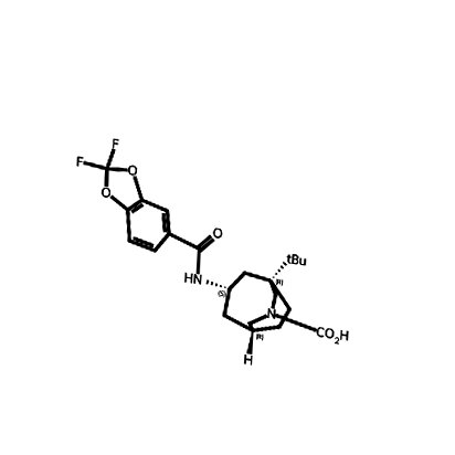 CC(C)(C)[C@@]12CC[C@H](C[C@H](NC(=O)c3ccc4c(c3)OC(F)(F)O4)C1)CN(C(=O)O)C2